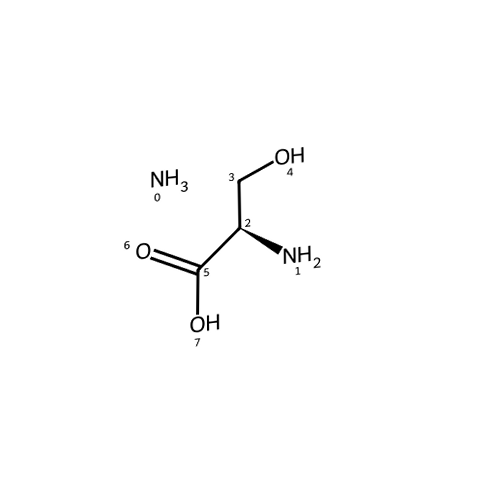 N.N[C@H](CO)C(=O)O